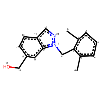 Cc1cccc(C)c1Cn1ncc2ccc(CO)cc21